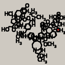 CC[C@]1(O)C[C@H]2C[N@](CCc3c([nH]c4ccccc34)[C@@](C(=O)OC)(c3cc4c(cc3OC)N(C=O)[C@H]3[C@@](O)(C(=O)OC)[C@H](OC(C)=O)[C@]5(CC)C=CCN6CC[C@]43[C@@H]65)C2)C1.CNNCc1ccc(C(=O)NC(C)C)cc1.C[C@]12C=CC(=O)C=C1CC[C@@H]1[C@@H]2C(=O)C[C@@]2(C)[C@H]1CC[C@]2(O)C(=O)CO.Cl.O=S(=O)(O)O